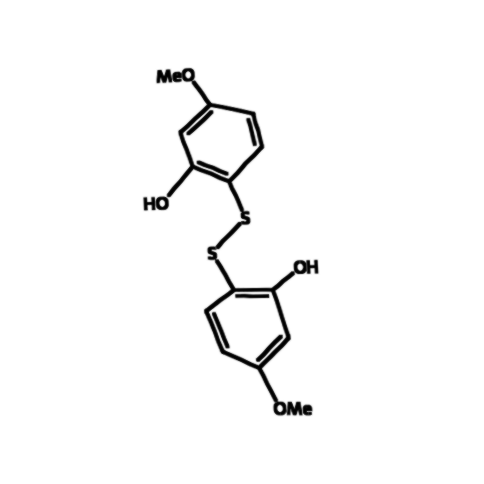 COc1ccc(SSc2ccc(OC)cc2O)c(O)c1